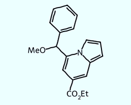 CCOC(=O)c1cc(C(OC)c2ccccc2)n2cccc2c1